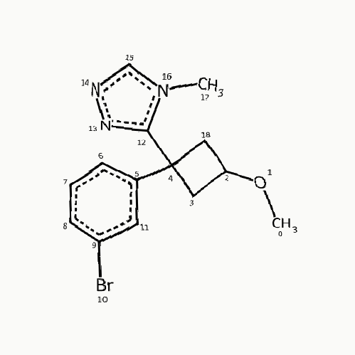 COC1CC(c2cccc(Br)c2)(c2nncn2C)C1